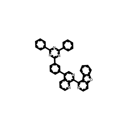 c1ccc(-c2nc(-c3ccccc3)nc(-c3cccc(-c4cnc(-c5nccc6oc7ccccc7c56)c5ncccc45)c3)n2)cc1